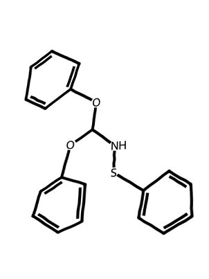 c1ccc(OC(NSc2ccccc2)Oc2ccccc2)cc1